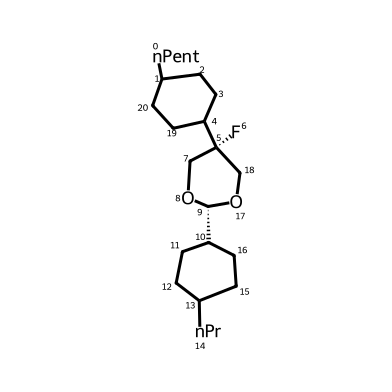 CCCCCC1CCC([C@]2(F)CO[C@@H](C3CCC(CCC)CC3)OC2)CC1